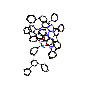 c1ccc(-c2ccc(-n3c4ccccc4c4ccc5c6ccccc6n(-c6nc(-c7ccccc7)nc(-c7cccc(-c8cccc(-c9cccc(-c%10cccc(-c%11ccc(-n%12c%13ccccc%13c%13ccc%14c%15ccccc%15n(-c%15nc(-c%16ccccc%16)nc(-c%16cccc(-c%17cc(-c%18ccccc%18)cc(-c%18ccccc%18)c%17)c%16)n%15)c%14c%13%12)cc%11)c%10)c9)c8)c7)n6)c5c43)cc2)cc1